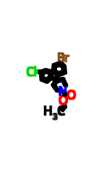 CCOC(=O)N1CCC(c2ccc(Cl)cc2)(c2ccc(Br)cc2)CC1